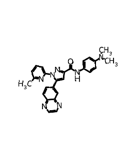 Cc1cccc(-n2nc(C(=O)Nc3ccc(N(C)C)cc3)cc2-c2ccc3nccnc3c2)n1